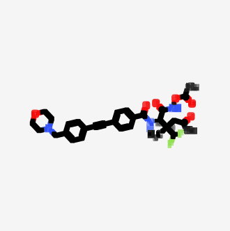 CC(C)(C)C(=O)C[C@](C)(C(F)F)[C@H](NC(=O)c1ccc(C#Cc2ccc(CN3CCOCC3)cc2)cc1)C(=O)NOC(=O)C(C)(C)C